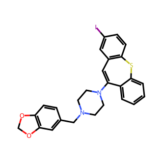 Ic1ccc2c(c1)C=C(N1CCN(Cc3ccc4c(c3)OCO4)CC1)c1ccccc1S2